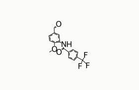 COc1ccc(C=O)cc1NC(=O)c1ccc(C(F)(F)F)cc1